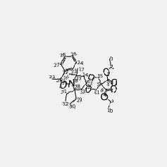 CCOC(=O)C1(C(=O)OCC)COC2(CC(C)(C)N(OC(C)c3ccccc3)C(CC)(CC)C2)OC1